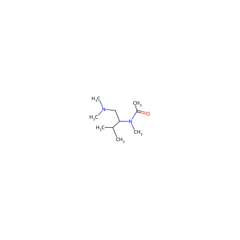 CC(=O)N(C)C(CN(C)C)C(C)C